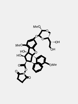 COc1ccc([C@@]23Oc4cc(OC5O[C@@H]([C@H](O)CO)CO[C@H]5OC)cc(OC)c4[C@]2(O)[C@H](O)[C@H](C(=O)ON2C(=O)CCC2=O)[C@H]3c2ccccc2)cc1